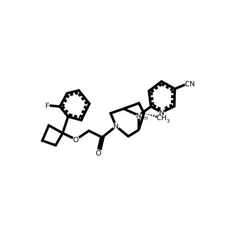 C[C@H]1CC2CN(C(=O)COC3(c4ccccc4F)CCC3)CC1N2c1ccc(C#N)cn1